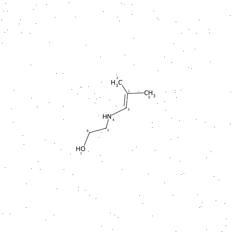 CC(C)=CNCCO